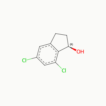 O[C@@H]1CCc2cc(Cl)cc(Cl)c21